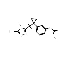 Cn1c(S)nnc1C(F)(F)C1(c2cccc(NC(=O)OC(C)(C)C)c2)CC1